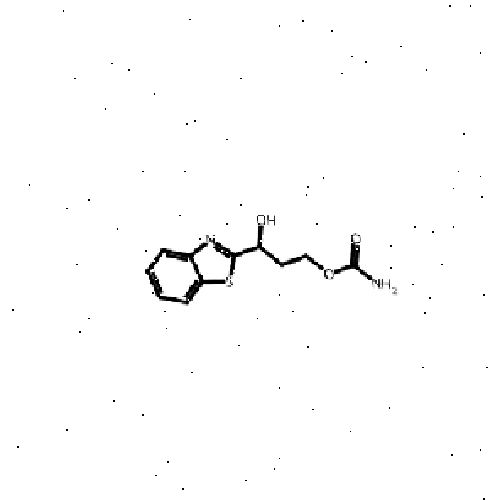 NC(=O)OCCC(O)c1nc2ccccc2s1